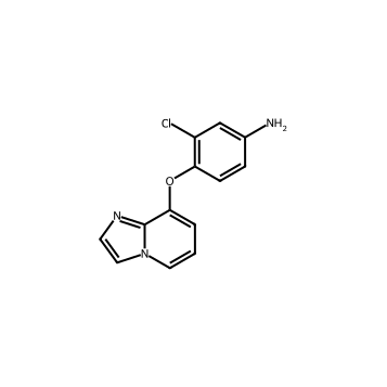 Nc1ccc(Oc2cccn3ccnc23)c(Cl)c1